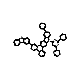 c1ccc(-c2ccc3c(c2)c2cc4c5cc(-c6ccc7sc8ccccc8c7c6)ccc5c5ccccc5c4cc2n3-c2cc(-c3ccccc3)nc(-c3ccccc3)n2)cc1